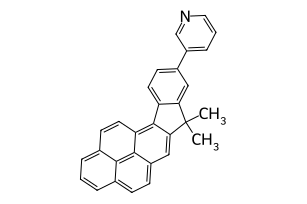 CC1(C)c2cc(-c3cccnc3)ccc2-c2c1cc1ccc3cccc4ccc2c1c34